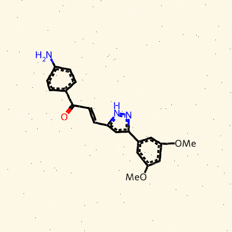 COc1cc(OC)cc(-c2cc(/C=C/C(=O)c3ccc(N)cc3)[nH]n2)c1